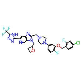 Fc1cc(Cl)ccc1COc1cc(N2CCN(Cc3nc4cc(-c5nnc(C(F)(F)F)[nH]5)ncc4n3CC3CCO3)CC2)ccc1F